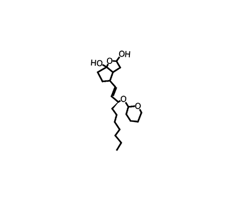 CCCCCCC[C@@H](C=CC1CCC2(O)OC(O)CC12)OC1CCCCO1